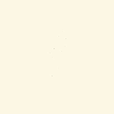 CN1CCc2[nH]c3cc(C4CSC4)ccc3c2CC1